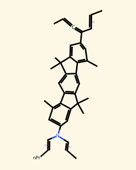 CC=C=C(/C=C/C)c1cc(C)c2c(c1)C(C)(C)c1cc3c(cc1-2)C(C)(C)c1cc(N(/C=C/C)/C=C/CCC)cc(C)c1-3